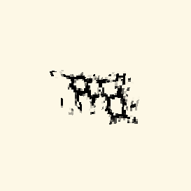 Cc1nc2cc(Cl)cc(N)c2c(=O)n1C1CCC(=O)NC1=O